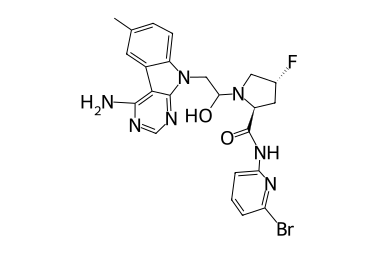 Cc1ccc2c(c1)c1c(N)ncnc1n2CC(O)N1C[C@H](F)C[C@H]1C(=O)Nc1cccc(Br)n1